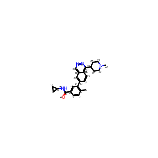 Cc1ccc(C(=O)NC2CC2)cc1-c1ccc2c(C3CCN(C)CC3)nncc2c1